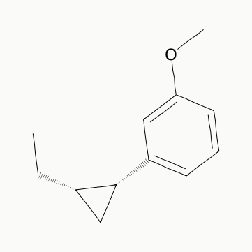 CC[C@H]1C[C@H]1c1cccc(OC)c1